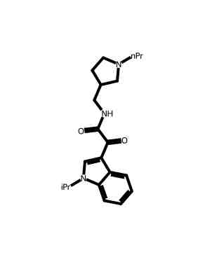 CCCN1CCC(CNC(=O)C(=O)c2cn(C(C)C)c3ccccc23)C1